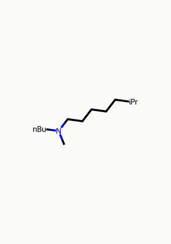 CCCCN(C)CCCCCC(C)C